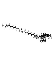 CCC=CCCCCCCCCCCCCCCCCCCCC(CCC)(P(=O)=O)[N+](C)(C)C